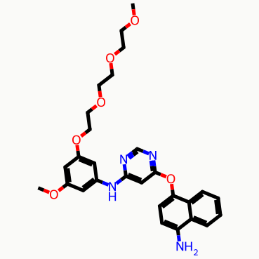 COCCOCCOCCOc1cc(Nc2cc(Oc3ccc(N)c4ccccc34)ncn2)cc(OC)c1